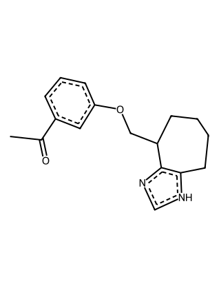 CC(=O)c1cccc(OCC2CCCCc3[nH]cnc32)c1